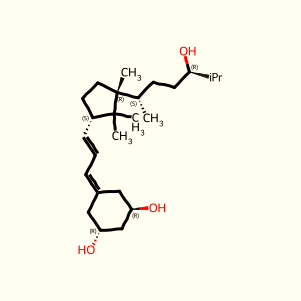 CC(C)[C@H](O)CC[C@H](C)[C@@]1(C)CC[C@@H](C=CC=C2C[C@@H](O)C[C@H](O)C2)C1(C)C